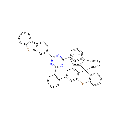 c1ccc(-c2nc(-c3ccc4c(c3)sc3ccccc34)nc(-c3ccccc3-c3ccc4c(c3)Sc3ccccc3C43c4ccccc4-c4ccccc43)n2)cc1